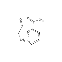 CC(=O)c1ccccc1.CCC=O